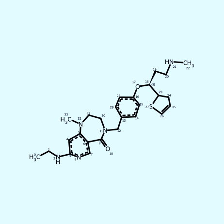 CCNc1cc2c(cn1)C(=O)N(Cc1ccc(O[C@@H](CCNC)C3CC=CS3)cc1)CCN2C